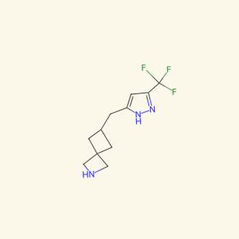 FC(F)(F)c1cc(CC2CC3(CNC3)C2)[nH]n1